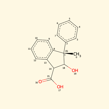 C[C@]1(c2ccccc2)c2ccccc2C(C(=O)O)C1O